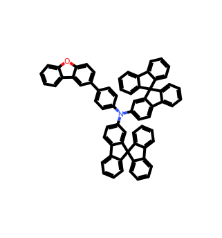 c1ccc2c(c1)-c1ccccc1C21c2ccccc2-c2ccc(N(c3ccc(-c4ccc5oc6ccccc6c5c4)cc3)c3ccc4c(c3)C3(c5ccccc5-c5ccccc53)c3ccccc3-4)cc21